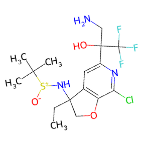 CCC1(N[S+]([O-])C(C)(C)C)COc2c1cc(C(O)(CN)C(F)(F)F)nc2Cl